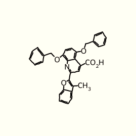 Cc1c(-c2cc(C(=O)O)c3c(OCc4ccccc4)ccc(OCc4ccccc4)c3n2)oc2ccccc12